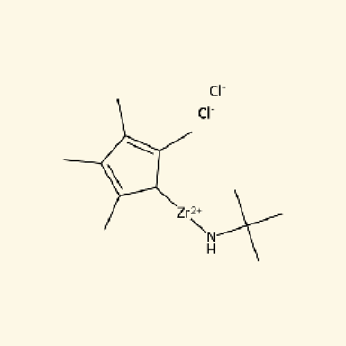 CC1=C(C)[CH]([Zr+2][NH]C(C)(C)C)C(C)=C1C.[Cl-].[Cl-]